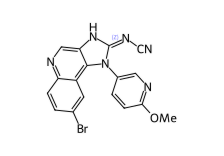 COc1ccc(-n2/c(=N\C#N)[nH]c3cnc4ccc(Br)cc4c32)cn1